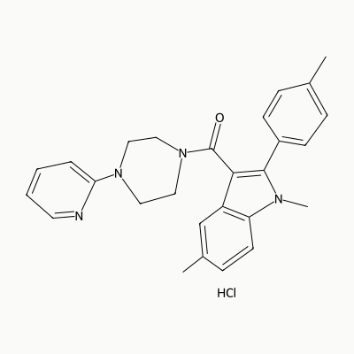 Cc1ccc(-c2c(C(=O)N3CCN(c4ccccn4)CC3)c3cc(C)ccc3n2C)cc1.Cl